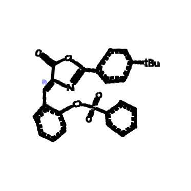 CC(C)(C)c1ccc(C2=N/C(=C\c3ccccc3OS(=O)(=O)c3ccccc3)C(=O)O2)cc1